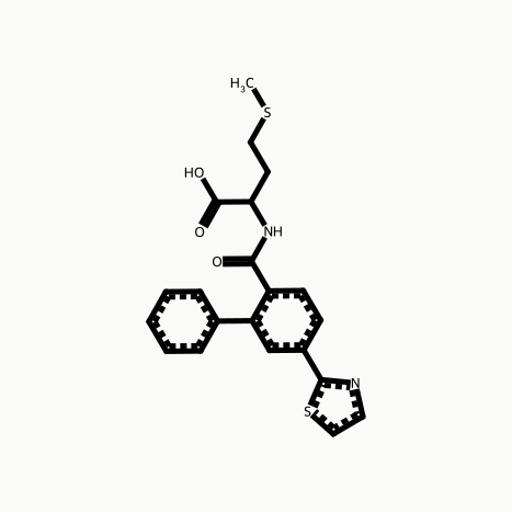 CSCCC(NC(=O)c1ccc(-c2nccs2)cc1-c1ccccc1)C(=O)O